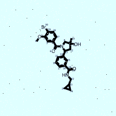 COc1cc(C(=O)N2CC(C)(O)CC2c2cccc(C(=O)NCC3CC3)c2)ccc1Br